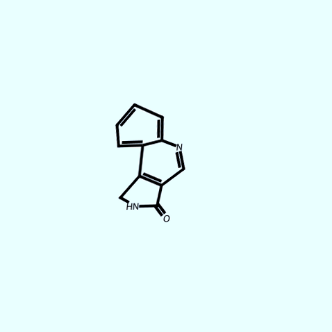 O=C1NCc2c1cnc1ccccc21